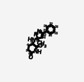 CC1(NC2CCC(=O)NC2=O)C=C(c2ccccc2)N=N1